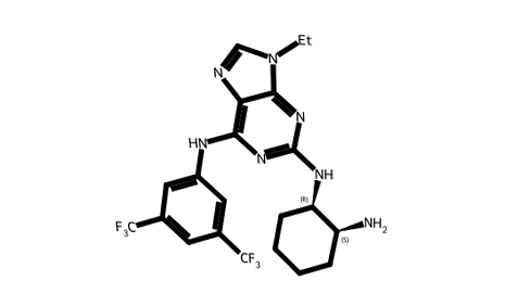 CCn1cnc2c(Nc3cc(C(F)(F)F)cc(C(F)(F)F)c3)nc(N[C@@H]3CCCC[C@@H]3N)nc21